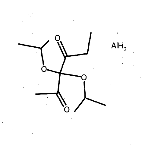 CCC(=O)C(OC(C)C)(OC(C)C)C(C)=O.[AlH3]